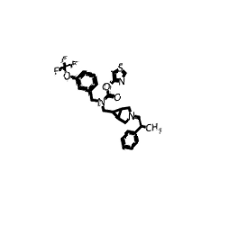 CC(CN1CC2C(C1)C2CN(Cc1cccc(OC(F)(F)F)c1)C(=O)Oc1cscn1)c1ccccc1